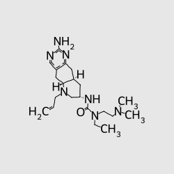 C=CCN1C[C@@H](NC(=O)N(CC)CCN(C)C)C[C@@H]2Cc3nc(N)ncc3C[C@H]21